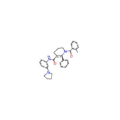 Cc1ccccc1C(=O)N1CCC[C@H](C(=O)Nc2cccc(N3CCCC3)c2)[C@@H]1c1ccccc1